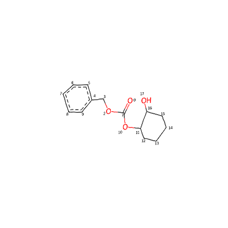 O=C(OCc1ccccc1)OC1CCCCC1O